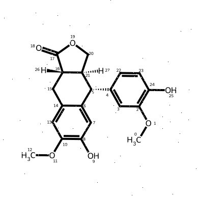 COc1cc([C@@H]2c3cc(O)c(OC)cc3C[C@@H]3C(=O)OC[C@@H]23)ccc1O